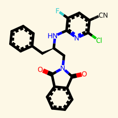 N#Cc1cc(F)c(N[C@H](Cc2ccccc2)CN2C(=O)c3ccccc3C2=O)nc1Cl